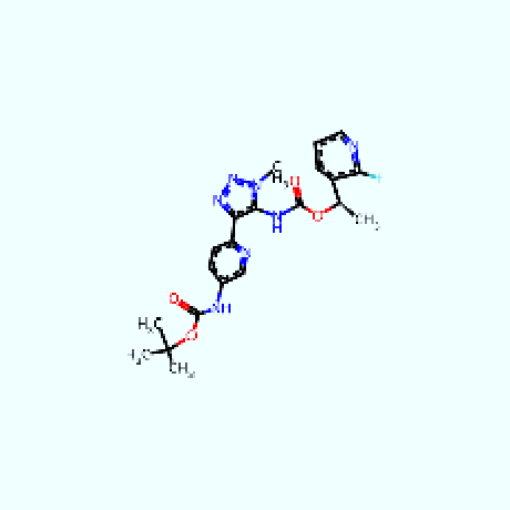 C[C@@H](OC(=O)Nc1c(-c2ccc(NC(=O)OC(C)(C)C)cn2)nnn1C)c1cccnc1F